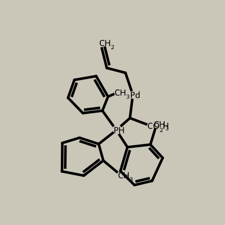 C=C[CH2][Pd][CH](C(=O)O)[PH](c1ccccc1C)(c1ccccc1C)c1ccccc1C